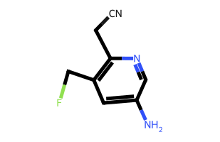 N#CCc1ncc(N)cc1CF